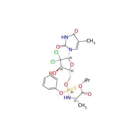 Cc1cn([C@@H]2O[C@H](CO[P@](=S)(N[C@@H](C)C(=O)OC(C)C)Oc3ccccc3)[C@@H](O)C2(Cl)Cl)c(=O)[nH]c1=O